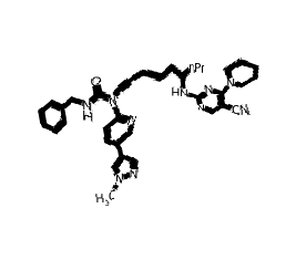 CCCC(CCCC#CN(C(=O)NCc1ccccc1)c1ccc(-c2cnn(C)c2)cn1)Nc1ncc(C#N)c(N2CCCCC2)n1